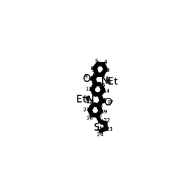 CCn1c2ccccc2c(=O)c2cc3c(cc21)c(=O)c1cc(-c2cccs2)ccc1n3CC